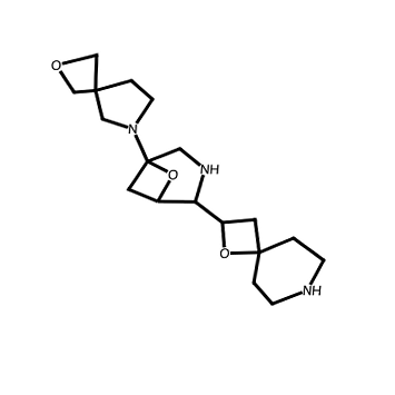 C1CC2(CCN1)CC(C1NCC3(N4CCC5(COC5)C4)CC1O3)O2